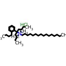 CCCCCCCCCCCCCCCC[N+](C)(C)C(CCCC)(CCCC)c1ccccc1CCCC.Cl